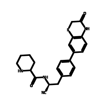 N#C[C@H](Cc1ccc(-c2ccc3c(c2)SCC(=O)N3)cc1)NC(=O)C1CCCCN1